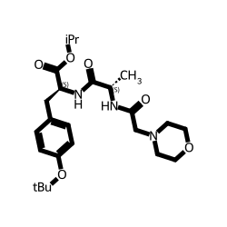 CC(C)OC(=O)[C@H](Cc1ccc(OC(C)(C)C)cc1)NC(=O)[C@H](C)NC(=O)CN1CCOCC1